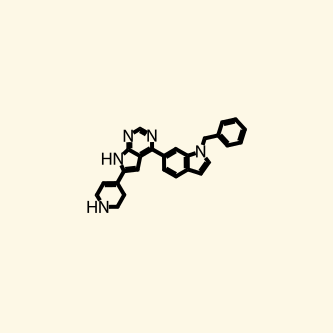 C1=C(c2cc3c(-c4ccc5ccn(Cc6ccccc6)c5c4)ncnc3[nH]2)CCNC1